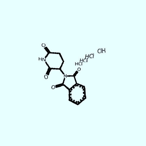 Cl.Cl.Cl.Cl.O=C1CCC(N2C(=O)c3ccccc3C2=O)C(=O)N1